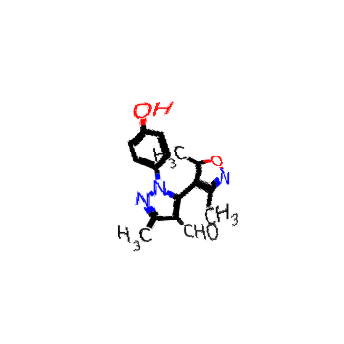 CC1=NOC(C)C1c1c(C=O)c(C)nn1-c1ccc(O)cc1